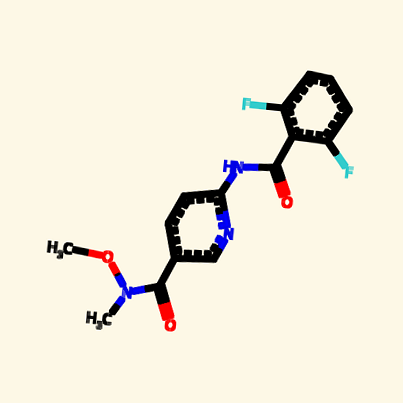 CON(C)C(=O)c1ccc(NC(=O)c2c(F)cccc2F)nc1